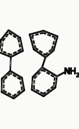 Nc1ccccc1-c1ccccc1.c1ccc(-c2ccccc2)cc1